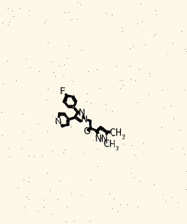 Cc1cc(C(=O)Cn2cc(-c3ccncc3)c(-c3ccc(F)cc3)n2)nn1C